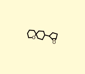 C1CCC2(CCC(C3CCC4OC43)CC2)OC1